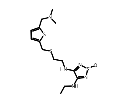 CCNc1n[s+]([O-])nc1NCCSCc1ccc(CN(C)C)s1